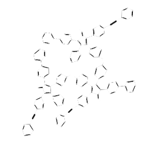 O=C1C(c2ccc(-c3ccccc3)cc2)=C(c2ccccc2)C(c2ccc(Oc3ccc(C4=C(c5ccc(-c6ccccc6)cc5)C(=O)C(c5ccc(C#Cc6ccccc6)cc5)=C4c4ccc(Oc5ccc(C6=C(c7ccc(-c8ccccc8)cc7)C(=O)C(c7ccc(C#Cc8ccccc8)cc7)=C6c6ccccc6)cc5)cc4)cc3)cc2)=C1c1ccc(C#Cc2ccccc2)cc1